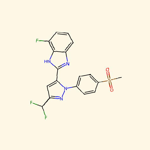 CS(=O)(=O)c1ccc(-n2nc(C(F)F)cc2-c2nc3cccc(F)c3[nH]2)cc1